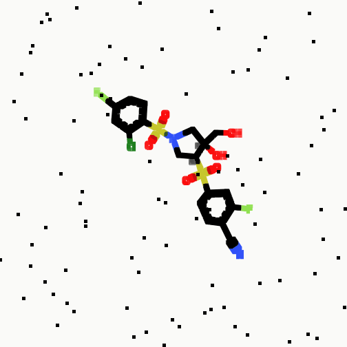 N#Cc1ccc(S(=O)(=O)[C@H]2CN(S(=O)(=O)c3ccc(F)cc3Cl)C[C@]2(O)CO)cc1F